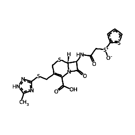 Cc1nc(SCC2=C(C(=O)O)N3C(=O)C(NC(=O)C[S+]([O-])c4cccs4)[C@H]3SC2)n[nH]1